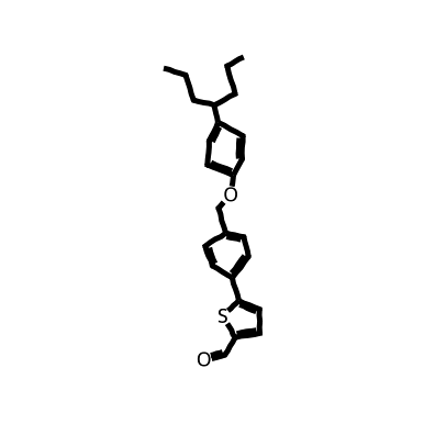 CCCC(CCC)c1ccc(OCc2ccc(-c3ccc(C=O)s3)cc2)cc1